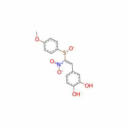 COc1ccc([S+]([O-])/C(=C/c2ccc(O)c(O)c2)[N+](=O)[O-])cc1